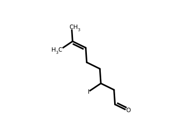 CC(C)=CCCC(I)CC=O